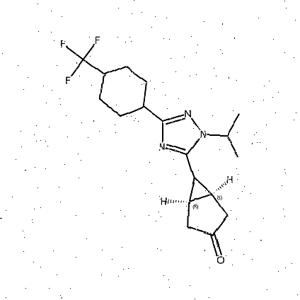 CC(C)n1nc(C2CCC(C(F)(F)F)CC2)nc1C1[C@H]2CC(=O)C[C@@H]12